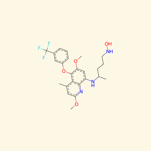 COc1cc(C)c2c(Oc3cccc(C(F)(F)F)c3)c(OC)cc(NC(C)CCCNO)c2n1